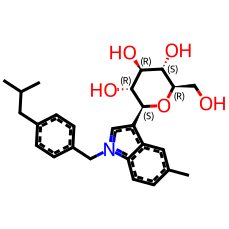 Cc1ccc2c(c1)c([C@@H]1O[C@H](CO)[C@@H](O)[C@H](O)[C@H]1O)cn2Cc1ccc(CC(C)C)cc1